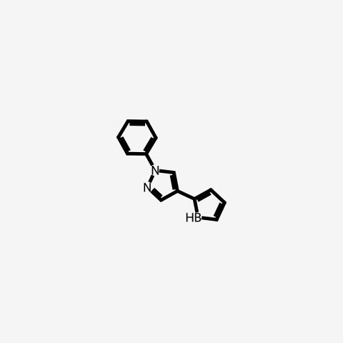 B1C=CC=C1c1cnn(-c2ccccc2)c1